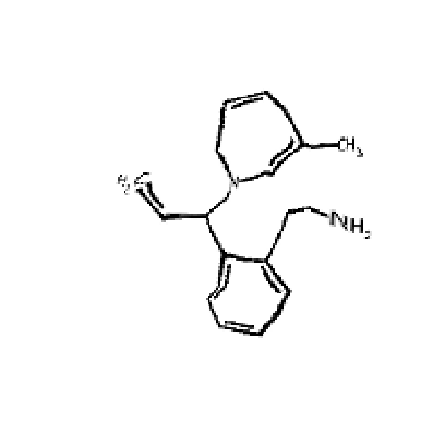 C=CC(c1ccccc1CN)N1C=C(C)C=CC1